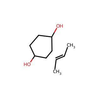 CC=CC.OC1CCC(O)CC1